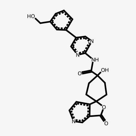 O=C1OC2(CCC(O)(C(=O)Nc3ncc(-c4cccc(CO)c4)cn3)CC2)c2ccncc21